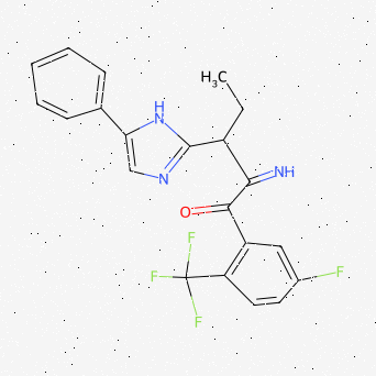 CCC(C(=N)C(=O)c1cc(F)ccc1C(F)(F)F)c1ncc(-c2ccccc2)[nH]1